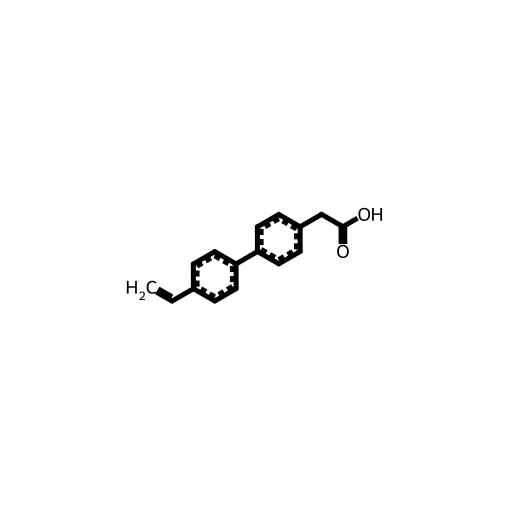 C=Cc1ccc(-c2ccc(CC(=O)O)cc2)cc1